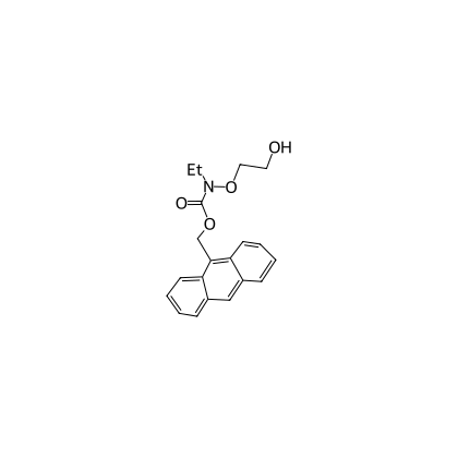 CCN(OCCO)C(=O)OCc1c2ccccc2cc2ccccc12